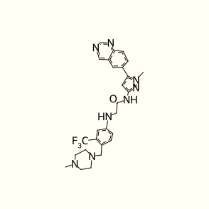 CN1CCN(Cc2ccc(NCC(=O)Nc3cc(-c4ccc5ncncc5c4)n(C)n3)cc2C(F)(F)F)CC1